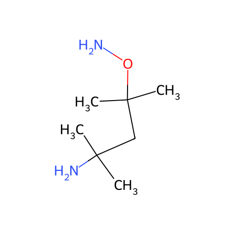 CC(C)(N)CC(C)(C)ON